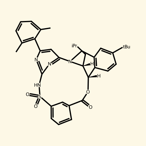 Cc1cccc(C)c1-c1cc2nc(n1)NS(=O)(=O)c1cccc(c1)C(=O)O[C@H]1c3ccc(C(C)(C)C)cc3CN2[C@@H]1CC(C)C